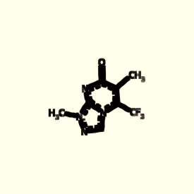 Cc1c(C(F)(F)F)n2cnn(C)c2nc1=O